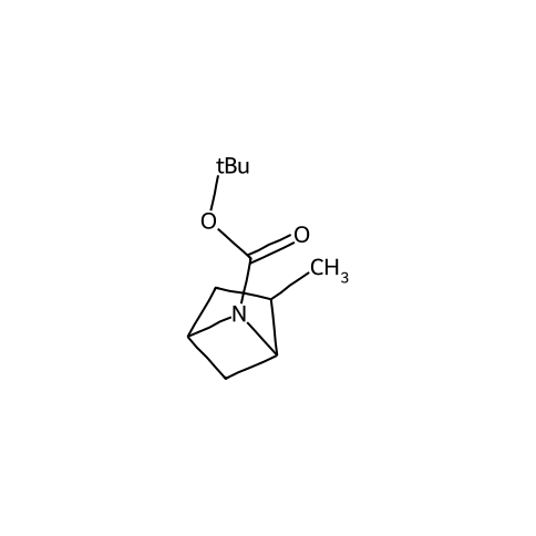 CC1CC2CC1N2C(=O)OC(C)(C)C